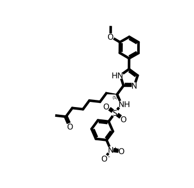 COc1cccc(-c2cnc([C@H](CCCCCC(C)=O)NS(=O)(=O)c3cccc([N+](=O)[O-])c3)[nH]2)c1